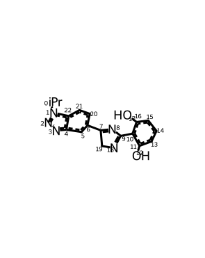 CC(C)n1nnc2cc(C3=NC(c4c(O)cccc4O)=NC3)ccc21